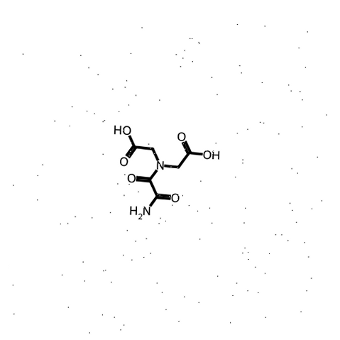 NC(=O)C(=O)N(CC(=O)O)CC(=O)O